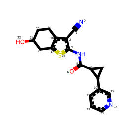 N#Cc1c(NC(=O)C2CC2c2cccnc2)sc2c1CCC(O)C2